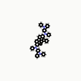 c1ccc(N(c2ccc3c4c(ccc3c2)-c2ccc3cc(N(c5ccccc5)c5ccc6c(c5)c5ccccc5n6-c5ccccc5)ccc3c2C42c3ccccc3-c3c2ccc2ccccc32)c2ccc3c(c2)c2ccccc2n3-c2ccccc2)cc1